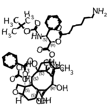 CC(=O)O[C@@]12CO[C@@H]1C[C@H](O)[C@@]13C(O)=C1[C@H](O)C1=C(C)[C@@H](OC(=O)[C@H](OC(=O)CCCCCN)[C@@H](NC(=O)OC(C)(C)C)c4ccccc4)C[C@@](O)([C@@H](OC(=O)c4ccccc4)[C@H]23)C1(C)C